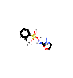 Cc1ccccc1S(=O)(=O)ON=C1NCCO1